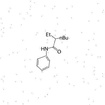 CCCCC(CC)C(=O)Nc1cc[c]cc1